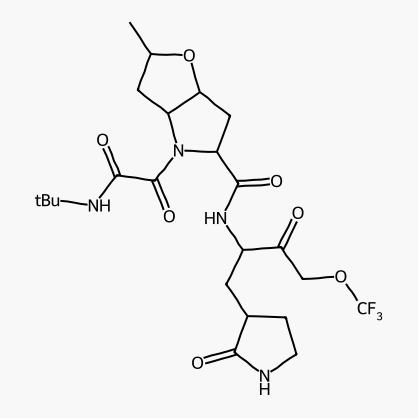 CC1CC2C(CC(C(=O)NC(CC3CCNC3=O)C(=O)COC(F)(F)F)N2C(=O)C(=O)NC(C)(C)C)O1